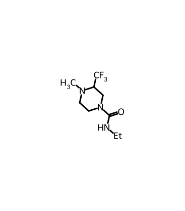 CCNC(=O)N1CCN(C)C(C(F)(F)F)C1